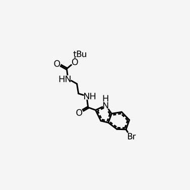 CC(C)(C)OC(=O)NCCNC(=O)c1cc2cc(Br)ccc2[nH]1